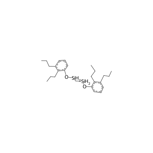 CCCc1cccc(O[SiH2]C[SiH2]Oc2cccc(CCC)c2CCC)c1CCC